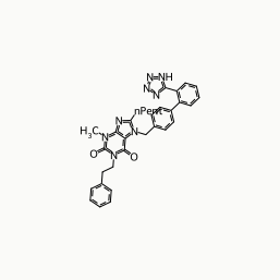 CCCCCc1nc2c(c(=O)n(CCc3ccccc3)c(=O)n2C)n1Cc1ccc(-c2ccccc2-c2nnn[nH]2)cc1